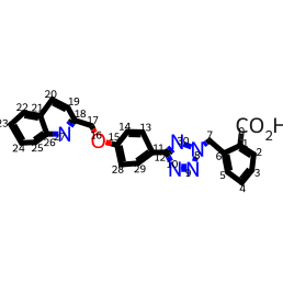 O=C(O)c1ccccc1Cn1nnc(-c2ccc(OCc3ccc4ccccc4n3)cc2)n1